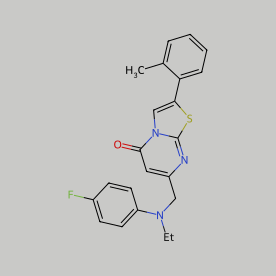 CCN(Cc1cc(=O)n2cc(-c3ccccc3C)sc2n1)c1ccc(F)cc1